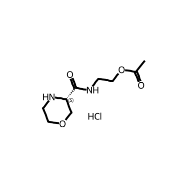 CC(=O)OCCNC(=O)[C@@H]1COCCN1.Cl